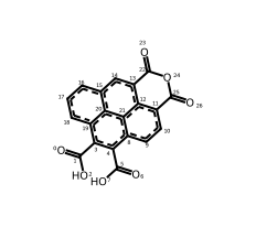 O=C(O)c1c(C(=O)O)c2ccc3c4c(cc5cccc1c5c24)C(=O)OC3=O